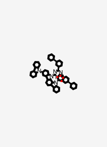 c1ccc(-c2ccc(-c3nc(-c4cccc(-c5ccccc5)c4)nc(-n4c5ccc(-n6c7ccccc7c7ccccc76)cc5c5ccc6c7ccccc7n(-c7ccccc7)c6c54)n3)cc2)cc1